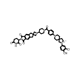 C[C@H]1CC2(CCN(c3ccc(C(=O)N4CCC(N5CC6(Cc7cc8c(cc7C6)C(=O)N(C6CCC(=O)NC6=O)C8=O)C5)CC4)cc3)CC2)CN1c1ccc(C#N)c(Cl)c1